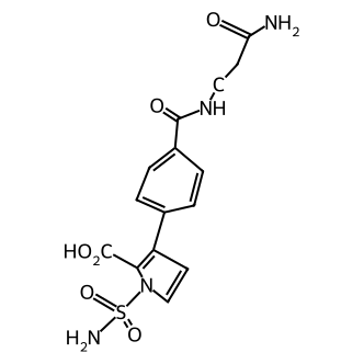 NC(=O)CCNC(=O)c1ccc(-c2ccn(S(N)(=O)=O)c2C(=O)O)cc1